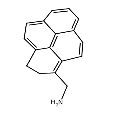 NCC1=c2ccc3cccc4ccc(c2c43)CC1